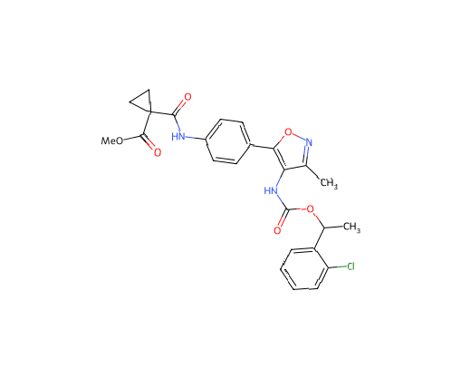 COC(=O)C1(C(=O)Nc2ccc(-c3onc(C)c3NC(=O)OC(C)c3ccccc3Cl)cc2)CC1